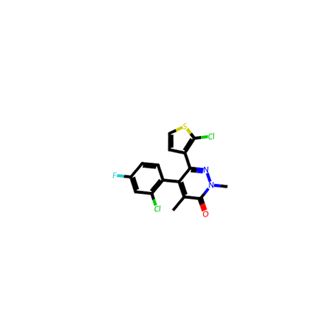 Cc1c(-c2ccc(F)cc2Cl)c(-c2ccsc2Cl)nn(C)c1=O